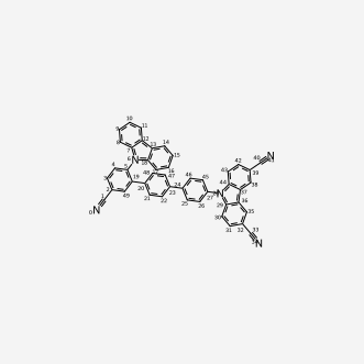 N#Cc1ccc(-n2c3ccccc3c3ccccc32)c(-c2ccc(-c3ccc(-n4c5ccc(C#N)cc5c5cc(C#N)ccc54)cc3)cc2)c1